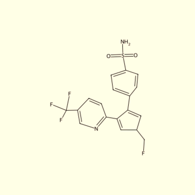 NS(=O)(=O)c1ccc(C2=CC(CF)C=C2c2ccc(C(F)(F)F)cn2)cc1